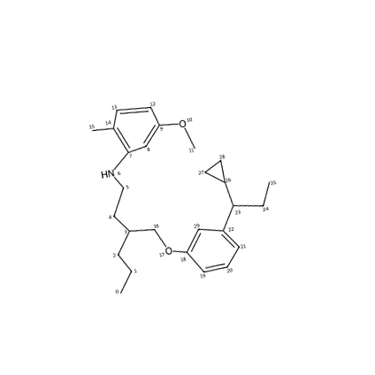 CCCC(CCNc1cc(OC)ccc1C)COc1cccc(C(CC)C2CC2)c1